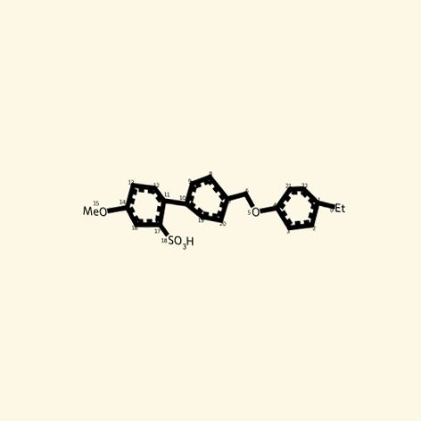 CCc1ccc(OCc2ccc(-c3ccc(OC)cc3S(=O)(=O)O)cc2)cc1